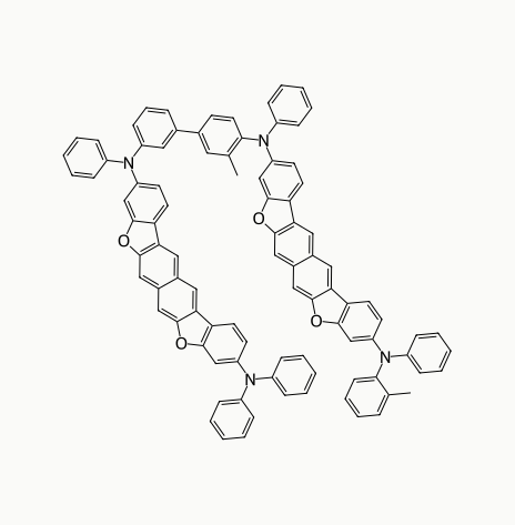 Cc1ccccc1N(c1ccccc1)c1ccc2c(c1)oc1cc3cc4oc5cc(N(c6ccccc6)c6ccc(-c7cccc(N(c8ccccc8)c8ccc9c(c8)oc8cc%10cc%11oc%12cc(N(c%13ccccc%13)c%13ccccc%13)ccc%12c%11cc%10cc89)c7)cc6C)ccc5c4cc3cc12